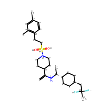 C=C(NC(CC)[C@H]1CC[C@H](CC(F)(F)C(F)(F)F)CC1)C1CCN(S(=O)(=O)CCc2ccc(CC)cc2C)CC1